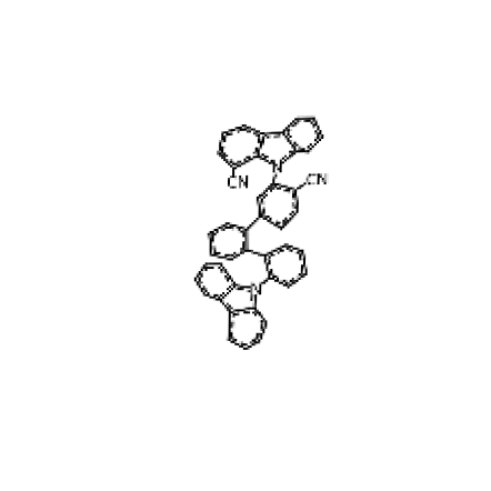 N#Cc1ccc(-c2ccccc2-c2ccccc2-n2c3ccccc3c3ccccc32)cc1-n1c2ccccc2c2cccc(C#N)c21